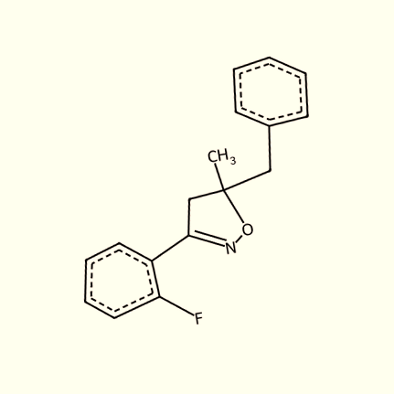 CC1(Cc2ccccc2)CC(c2ccccc2F)=NO1